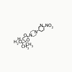 C=C(C)C(C)(C)OC(=O)N1CCN(c2ccc([N+](=O)[O-])nc2)CC1